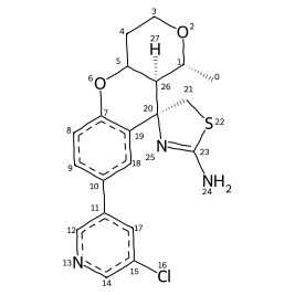 C[C@H]1OCCC2Oc3ccc(-c4cncc(Cl)c4)cc3[C@@]3(CSC(N)=N3)[C@@H]21